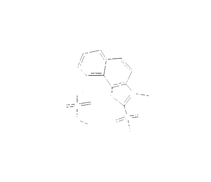 COS(=O)(=O)O.CS1=C(S(C)(=O)=O)Nc2c1ccc1ccccc21